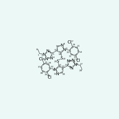 CCn1nnc(-c2cnn(-c3cc(Cl)ccc3Cl)c2SSc2c(-c3nnn(CC)n3)cnn2-c2cc(Cl)ccc2Cl)n1